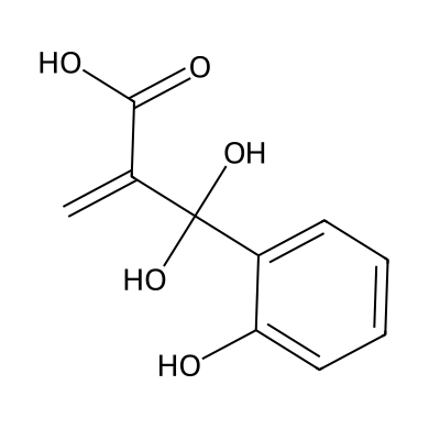 C=C(C(=O)O)C(O)(O)c1ccccc1O